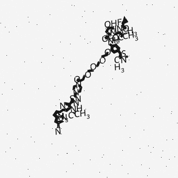 Cc1ncsc1-c1ccc(CNC(=O)[C@@H]2C[C@@H](O)CN2C(=O)[C@@H](NC(=O)C2(F)CC2)C(C)(C)C)c(OCCOCCOCCOCCC(=O)N2CCN(c3nnc(-c4cnc(-c5ccc6cc(C#N)cnn56)cc4NC(C)C)s3)CC2)c1